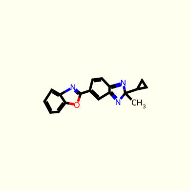 CC1(C2CC2)N=c2ccc(-c3nc4ccccc4o3)cc2=N1